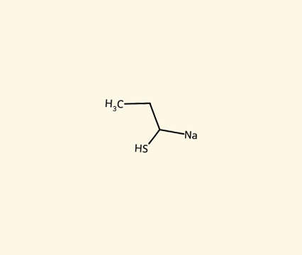 CC[CH]([Na])S